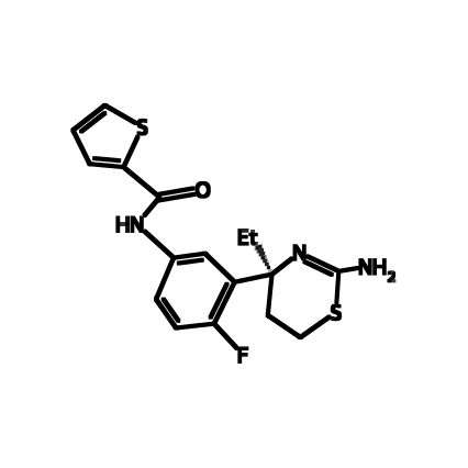 CC[C@@]1(c2cc(NC(=O)c3cccs3)ccc2F)CCSC(N)=N1